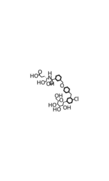 O=C(O)CC[C@H](NC(=O)c1cccc(COc2ccc(Cc3cc([C@@H]4O[C@H](CO)[C@@H](O)[C@H](O)[C@H]4O)ccc3Cl)cc2)c1)C(O)O